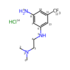 CN(C)CCNc1cc(N)cc(C(F)(F)F)c1.Cl